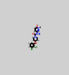 Cn1nc(NC(=O)N2CCC(Oc3cccc(F)c3Cl)CC2)ccc1=O